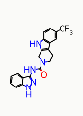 O=C(Nc1n[nH]c2ccccc12)N1CCc2c([nH]c3ccc(C(F)(F)F)cc23)C1